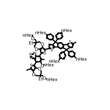 CCCCCCOCC1(CC)COc2c(C)sc(-c3c(OCCCCCC)c(C)c(-c4sc(-c5cc6c(s5)-c5cc7c(cc5C6(c5ccc(CCCCCC)cc5)c5ccc(CCCCCC)cc5)-c5sc(C)cc5C7(c5ccc(CCCCCC)cc5)c5ccc(CCCCCC)cc5)c5c4OCC(CC)(COCCCCCC)CO5)c4nsnc34)c2OC1